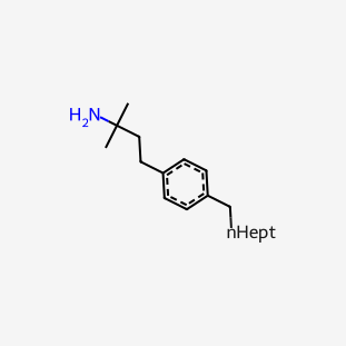 CCCCCCCCc1ccc(CCC(C)(C)N)cc1